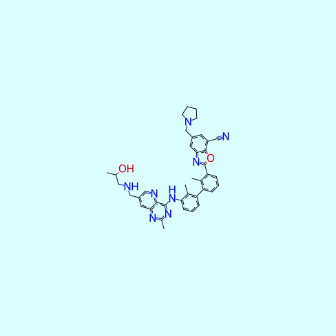 Cc1nc(Nc2cccc(-c3cccc(-c4nc5cc(CN6CCCC6)cc(C#N)c5o4)c3C)c2C)c2ncc(CNCC(C)O)cc2n1